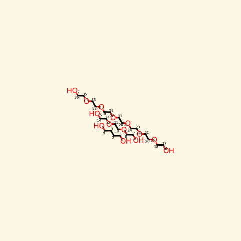 OCCCCO.OCCOCCOCCO.OCCOCCOCCOCCOCCOCCOCCO